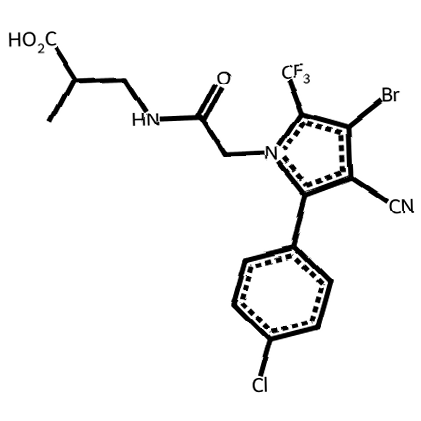 CC(CNC(=O)Cn1c(-c2ccc(Cl)cc2)c(C#N)c(Br)c1C(F)(F)F)C(=O)O